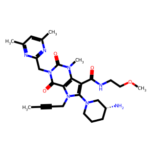 CC#CCn1c(N2CCC[C@@H](N)C2)c(C(=O)NCCOC)c2c1c(=O)n(Cc1nc(C)cc(C)n1)c(=O)n2C